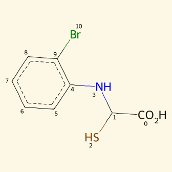 O=C(O)C(S)Nc1ccccc1Br